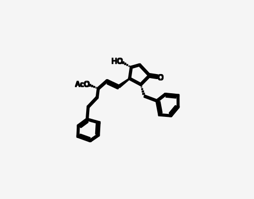 CC(=O)O[C@H](/C=C/[C@H]1[C@H](O)CC(=O)[C@@H]1Cc1ccccc1)CCc1ccccc1